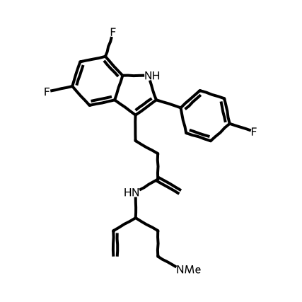 C=CC(CCNC)NC(=C)CCc1c(-c2ccc(F)cc2)[nH]c2c(F)cc(F)cc12